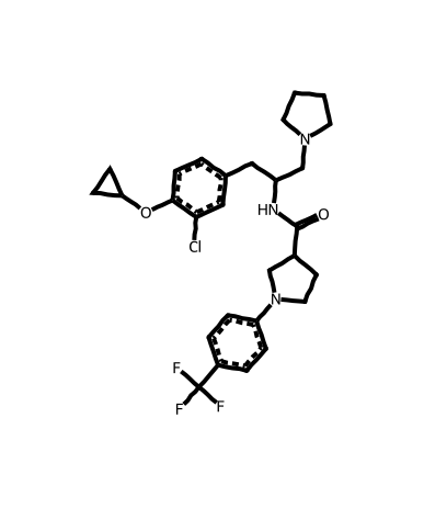 O=C(NC(Cc1ccc(OC2CC2)c(Cl)c1)CN1CCCC1)C1CCN(c2ccc(C(F)(F)F)cc2)C1